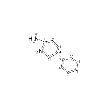 Nc1ccc(-c2c[c]ccc2)cn1